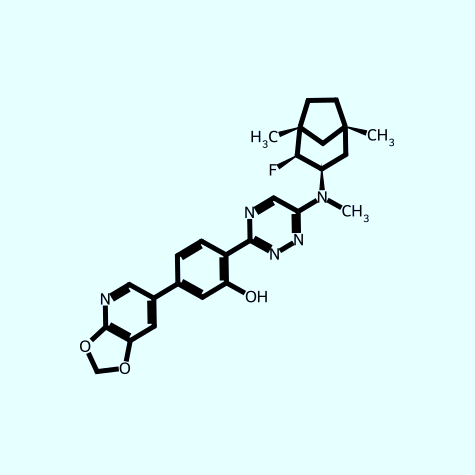 CN(c1cnc(-c2ccc(-c3cnc4c(c3)OCO4)cc2O)nn1)[C@@H]1C[C@@]2(C)CC[C@](C)(C2)[C@@H]1F